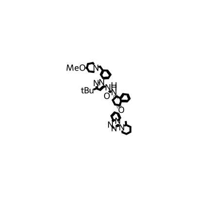 COC1CCN(Cc2cccc(-n3nc(C(C)(C)C)cc3NC(=O)N[C@H]3CC[C@@H](Oc4ccc5nnc(N6CCCCC6C)n5c4)c4ccccc43)c2)CC1